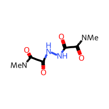 CNC(=O)C(=O)NNC(=O)C(=O)NC